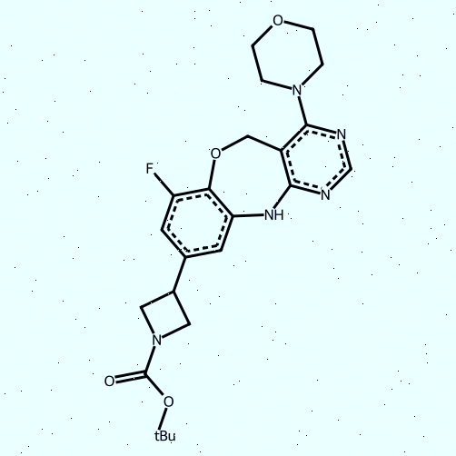 CC(C)(C)OC(=O)N1CC(c2cc(F)c3c(c2)Nc2ncnc(N4CCOCC4)c2CO3)C1